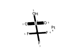 O=S(=O)(O)C(F)(F)F.[Pt]